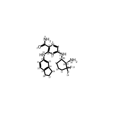 NC(=O)c1ncc(N[C@@H]2CCCC(F)(F)[C@@H]2N)nc1Nc1ccc2c(c1)CCC2